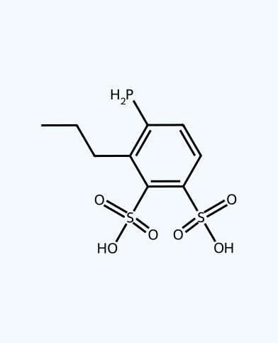 CCCc1c(P)ccc(S(=O)(=O)O)c1S(=O)(=O)O